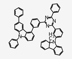 CC12C=CC=CC1c1ccccc1N2c1cccc(-c2nc(-c3ccccc3)nc(-c3cccc(-c4cccc5c4c4cc(-c6ccccc6)ccc4n5-c4ccccc4)c3)n2)c1